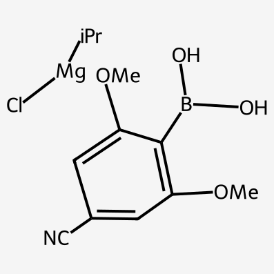 COc1cc(C#N)cc(OC)c1B(O)O.C[CH](C)[Mg][Cl]